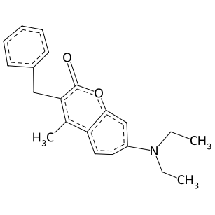 CCN(CC)c1ccc2c(C)c(Cc3ccccc3)c(=O)oc2c1